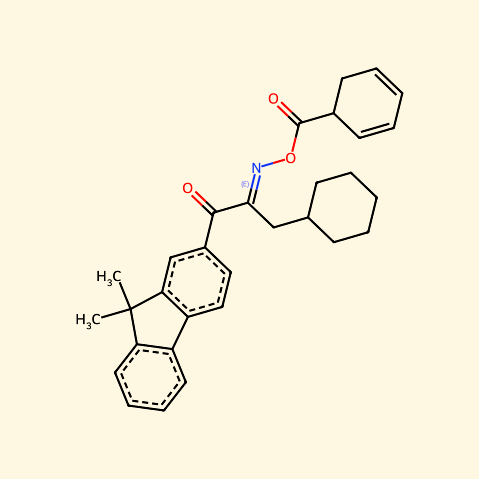 CC1(C)c2ccccc2-c2ccc(C(=O)/C(CC3CCCCC3)=N/OC(=O)C3C=CC=CC3)cc21